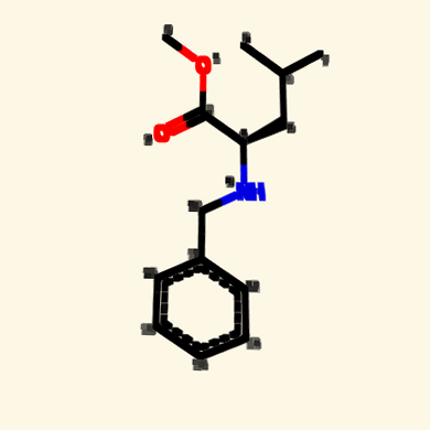 COC(=O)[C@@H](CC(C)C)NCc1ccccc1